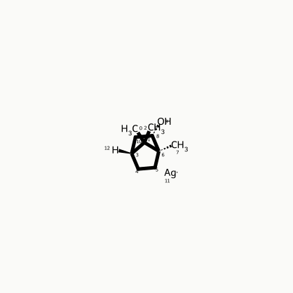 CC1(C)[C@@H]2CC[C@]1(C)[C@@H](O)C2.[Ag]